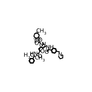 CC(C)[C@@H]1CC[C@@H](C)C[C@H]1OC(=O)n1nc(NC(=O)c2ccc(CN3CCCC3)cc2)c2oc(C(=O)NC(C)(C)c3ccccc3)cc21